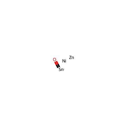 [Ni].[O]=[Sn].[Zn]